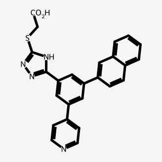 O=C(O)CSc1nnc(-c2cc(-c3ccncc3)cc(-c3ccc4ccccc4c3)c2)[nH]1